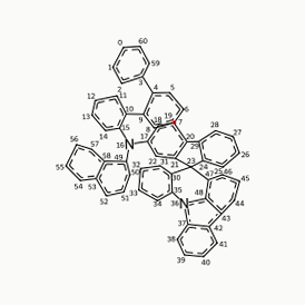 c1ccc(-c2ccccc2-c2ccccc2N(c2ccc3c(c2)C2(c4ccccc4-3)c3ccccc3-n3c4ccccc4c4cccc2c43)c2cccc3ccccc23)cc1